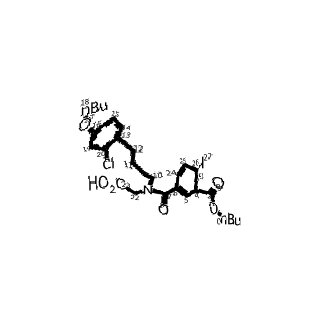 CCCCOC(=O)C1C=C(C(=O)N(CCCc2ccc(OCCCC)cc2Cl)CC(=O)O)C=C[C@@H]1I